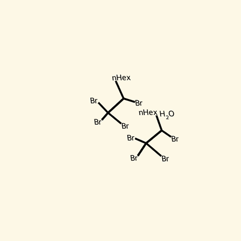 CCCCCCC(Br)C(Br)(Br)Br.CCCCCCC(Br)C(Br)(Br)Br.O